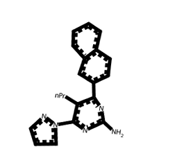 CCCc1c(-c2ccc3ccccc3c2)nc(N)nc1-n1cccn1